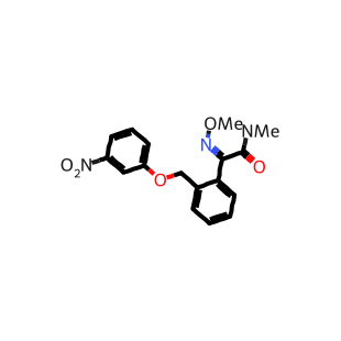 CNC(=O)C(=NOC)c1ccccc1COc1cccc([N+](=O)[O-])c1